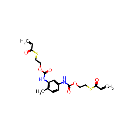 C=CC(=O)SCCOC(=O)Nc1ccc(C)c(NC(=O)OCCSC(=O)C=C)c1